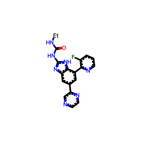 CCNC(=O)Nc1nc2cc(-c3cnccn3)cc(-c3ncccc3F)c2[nH]1